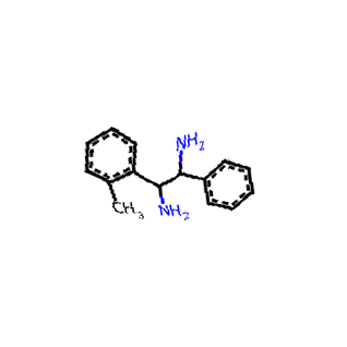 Cc1ccccc1C(N)C(N)c1ccccc1